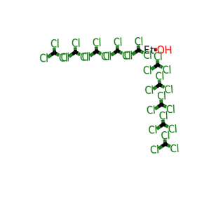 CCO.ClC(Cl)Cl.ClC(Cl)Cl.ClC(Cl)Cl.ClC(Cl)Cl.ClC(Cl)Cl.ClC(Cl)Cl.ClC(Cl)Cl.ClC(Cl)Cl.ClC(Cl)Cl.ClC(Cl)Cl